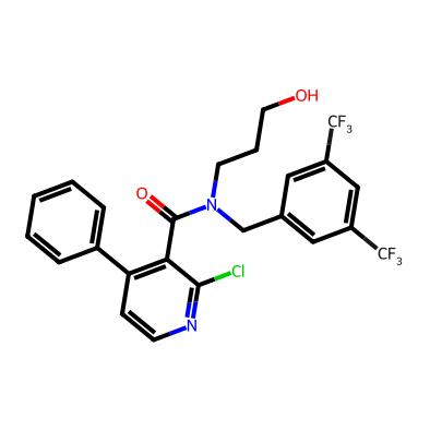 O=C(c1c(-c2ccccc2)ccnc1Cl)N(CCCO)Cc1cc(C(F)(F)F)cc(C(F)(F)F)c1